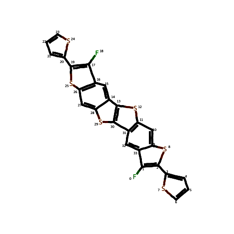 Fc1c(-c2cccs2)sc2cc3sc4c5cc6c(F)c(-c7cccs7)sc6cc5sc4c3cc12